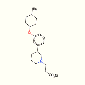 CCOC(=O)CCN1CCCC(c2cccc(OC3CCC(C(C)(C)C)CC3)c2)C1